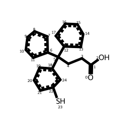 O=C(O)CCC(c1ccccc1)(c1ccccc1)c1cccc(S)c1